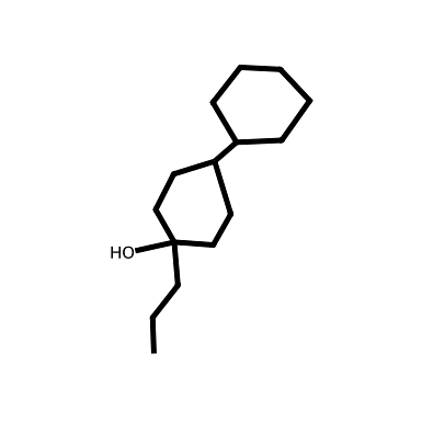 CCCC1(O)CCC(C2CCCCC2)CC1